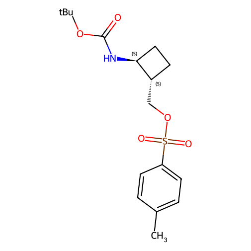 Cc1ccc(S(=O)(=O)OC[C@H]2CC[C@@H]2NC(=O)OC(C)(C)C)cc1